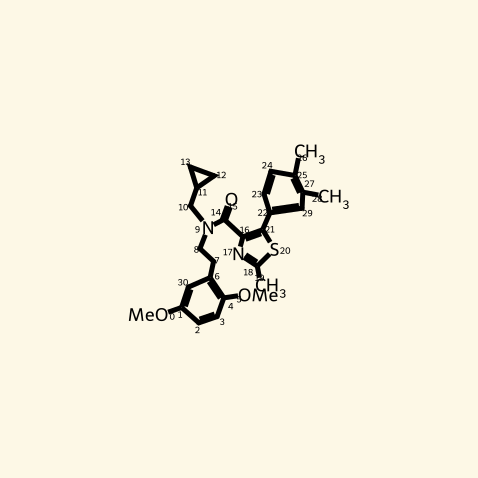 COc1ccc(OC)c(CCN(CC2CC2)C(=O)c2nc(C)sc2-c2ccc(C)c(C)c2)c1